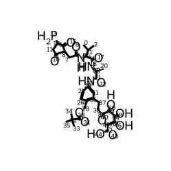 CC(C)[C@H](NC(=O)CC1C(=O)CC(P)C1=O)C(=O)N[C@@H](C)C(=O)Nc1ccc(COC(=O)C(C)(C)C)c(CC[C@@H]2O[C@H](C(=O)O)[C@@H](O)[C@H](O)[C@H]2O)c1